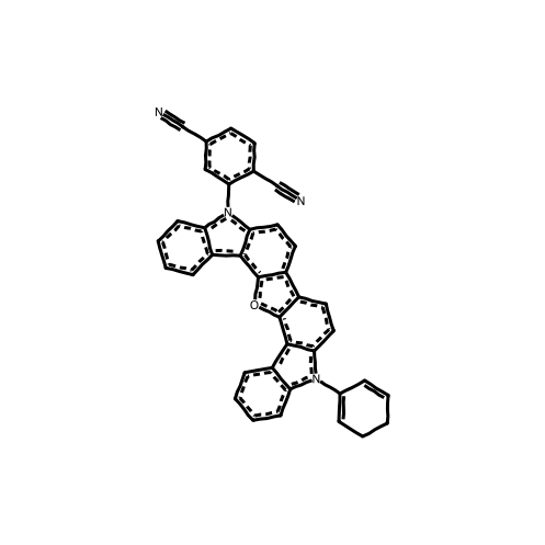 N#Cc1ccc(C#N)c(-n2c3ccccc3c3c4oc5c(ccc6c5c5ccccc5n6C5=CCCC=C5)c4ccc32)c1